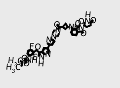 CCC(C)S(=O)(=O)Nc1ccc(F)c(C(=O)c2c[nH]c3ncc(-c4ccc(N5CCN(C(=O)C6CC(Nc7cccc8c7C(=O)N(C7CCC(=O)NC7=O)C8=O)C6)CC5)nc4)cc23)c1F